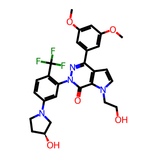 COc1cc(OC)cc(-c2nn(-c3cc(N4CC[C@H](O)C4)ccc3C(F)(F)F)c(=O)c3c2ccn3CCO)c1